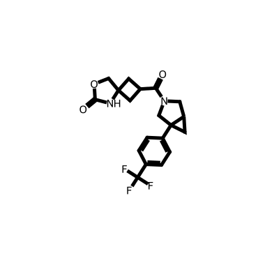 O=C1NC2(CO1)CC(C(=O)N1CC3CC3(c3ccc(C(F)(F)F)cc3)C1)C2